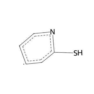 Sc1c[c]ccn1